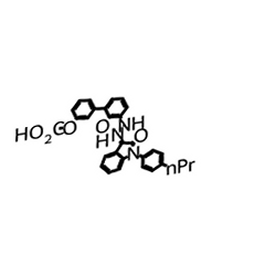 CCCc1ccc(N2C(=O)C(=NNc3cccc(-c4cccc(OC(=O)O)c4)c3O)c3ccccc32)cc1